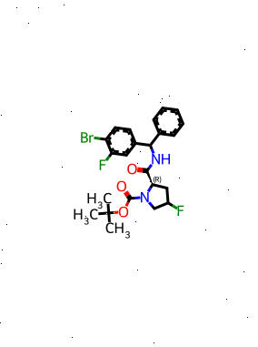 CC(C)(C)OC(=O)N1CC(F)C[C@@H]1C(=O)NC(c1ccccc1)c1ccc(Br)c(F)c1